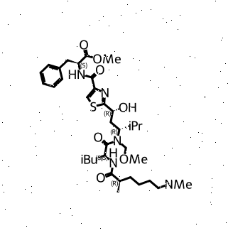 CC[C@H](C)[C@H](NC(=O)[C@H](C)CCCCNC)C(=O)N(COC)[C@H](C[C@@H](O)c1nc(C(=O)N[C@@H](Cc2ccccc2)C(=O)OC)cs1)C(C)C